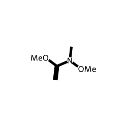 C=C(OC)N(C)OC